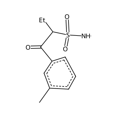 CCC(C(=O)c1cccc(C)c1)S([NH])(=O)=O